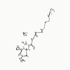 CCCCCCCCCCCC(=O)C(N)CN(CCO)CC(=O)[O-].[K+]